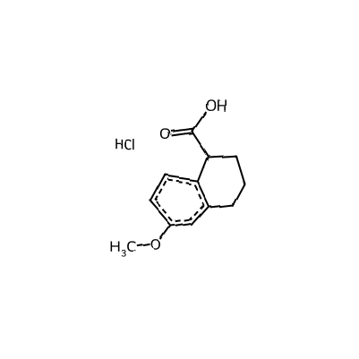 COc1ccc2c(c1)CCCC2C(=O)O.Cl